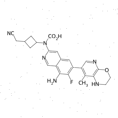 Cc1c(-c2cc3cc(N(C(=O)O)C4CC(CC#N)C4)ncc3c(N)c2F)cnc2c1NCCO2